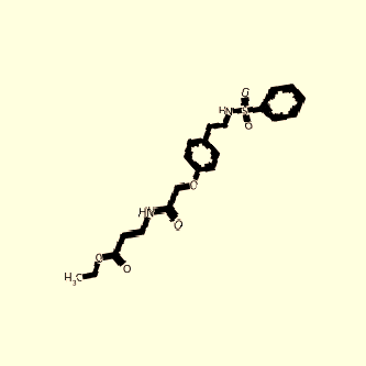 CCOC(=O)CCNC(=O)COc1ccc(CCNS(=O)(=O)c2ccccc2)cc1